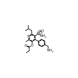 CCC(=O)Oc1c(C)nc(CC(C)C)c(CN)c1-c1ccc(CN)cc1.Cl.Cl